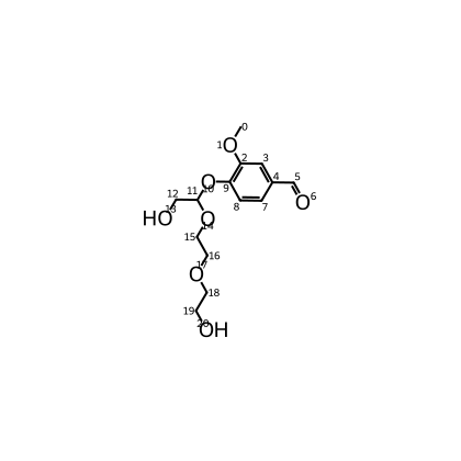 COc1cc(C=O)ccc1OC(CO)OCCOCCO